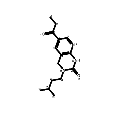 CCC(=O)c1cnc2c(c1)CN(CCC(C)C)C(=O)N2